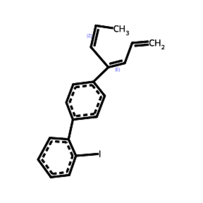 C=C/C=C(\C=C/C)c1ccc(-c2ccccc2I)cc1